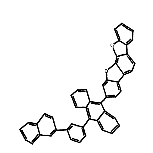 c1cc(-c2ccc3ccccc3c2)cc(-c2c3ccccc3c(-c3ccc4c(c3)oc3c4ccc4c5ccccc5oc43)c3ccccc23)c1